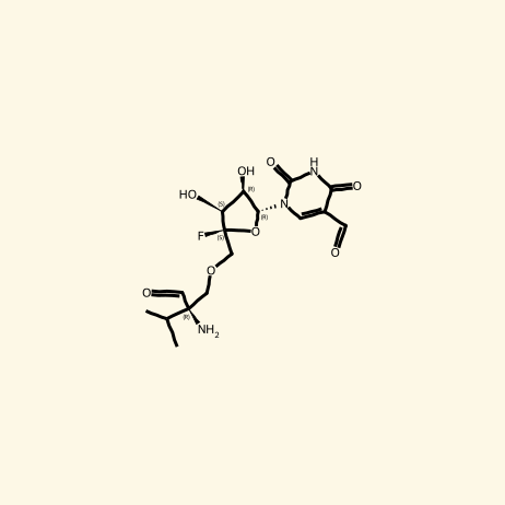 CC(C)[C@](N)(C=O)COC[C@@]1(F)O[C@@H](n2cc(C=O)c(=O)[nH]c2=O)[C@H](O)[C@@H]1O